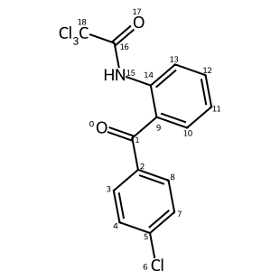 O=C(c1ccc(Cl)cc1)c1ccccc1NC(=O)C(Cl)(Cl)Cl